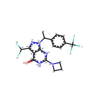 CC(c1ccc(C(F)(F)F)cc1)n1nc(C(F)F)c2c(=O)[nH]c(N3CCC3)nc21